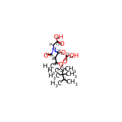 CC(C)C(C)(C)[Si](C)(C)O[C@H](C)[C@@H]1C(=O)N(CC(=O)O)[C@H]1OC(=O)O